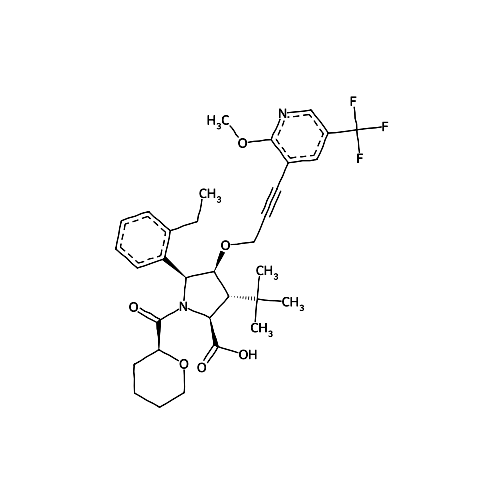 CCc1ccccc1[C@H]1[C@@H](OCC#Cc2cc(C(F)(F)F)cnc2OC)[C@H](C(C)(C)C)[C@@H](C(=O)O)N1C(=O)[C@@H]1CCCCO1